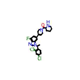 CC(c1ccc(Cl)cc1Cl)n1cnc2c(F)cc(C3=CCN(C(=O)C4CCCCN4)CC3)cc21